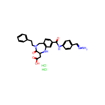 Cl.Cl.NN=Cc1ccc(NC(=O)c2ccc3c(c2)NC(CC(=O)O)C(=O)N(CCc2ccccc2)C3)cc1